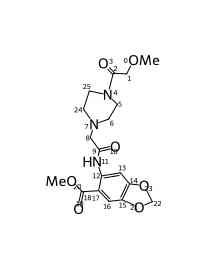 COCC(=O)N1CCN(CC(=O)Nc2cc3c(cc2C(=O)OC)OCO3)CC1